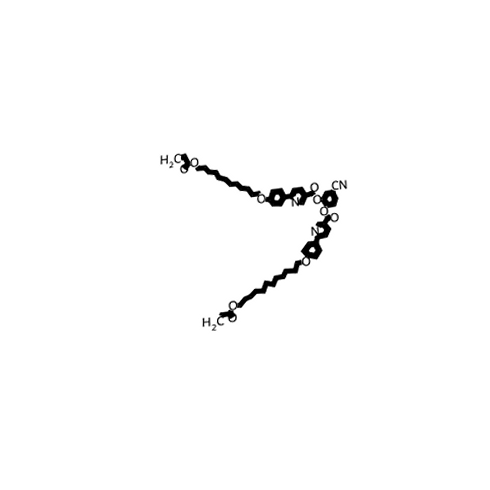 C=CC(=O)OCCCCCCCCCCCCOc1ccc(-c2ccc(C(=O)Oc3ccc(C#N)cc3OC(=O)c3ccc(-c4ccc(OCCCCCCCCCCCCOC(=O)C=C)cc4)nc3)cn2)cc1